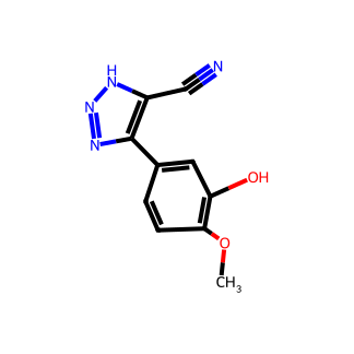 COc1ccc(-c2nn[nH]c2C#N)cc1O